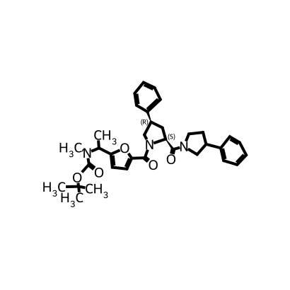 CC(c1ccc(C(=O)N2C[C@@H](c3ccccc3)C[C@H]2C(=O)N2CCC(c3ccccc3)C2)o1)N(C)C(=O)OC(C)(C)C